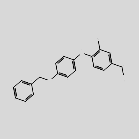 Nc1cc(CO)ccc1Oc1ccc(OCc2ccccc2)cc1